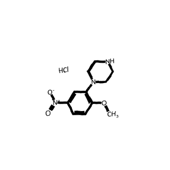 COc1ccc([N+](=O)[O-])cc1N1CCNCC1.Cl